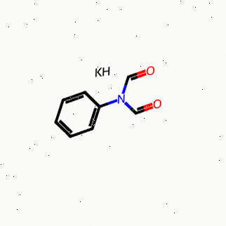 O=CN(C=O)c1ccccc1.[KH]